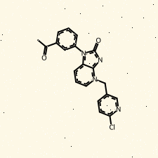 CC(=O)c1cccc(-n2c3cccn(Cc4ccc(Cl)nc4)c-3nc2=O)c1